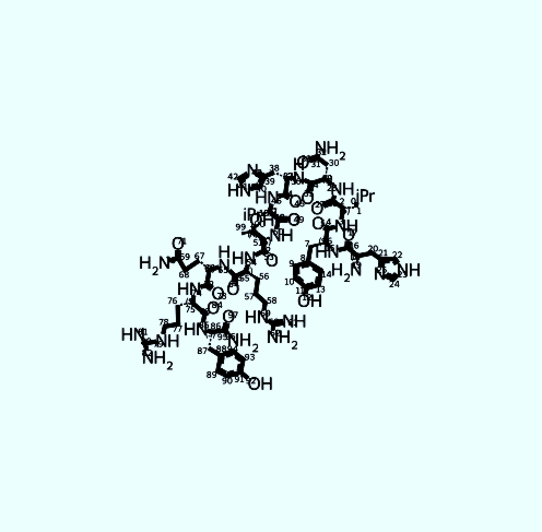 CC(C)C[C@H](NC(=O)[C@H](Cc1ccc(O)cc1)NC(=O)[C@@H](N)Cc1c[nH]cn1)C(=O)N[C@@H](CC(N)=O)C(=O)N[C@@H](Cc1c[nH]cn1)C(=O)N[C@H](C(=O)N[C@H](C(=O)N[C@@H](CCCNC(=N)N)C(=O)N[C@@H](CCC(N)=O)C(=O)N[C@@H](CCCNC(=N)N)C(=O)N[C@@H](Cc1ccc(O)cc1)C(N)=O)[C@@H](C)O)C(C)C